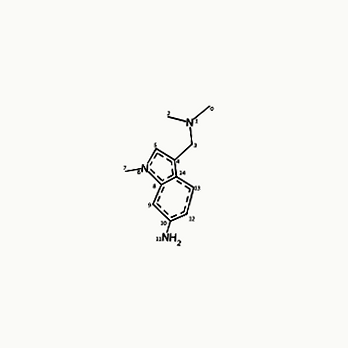 CN(C)Cc1cn(C)c2cc(N)ccc12